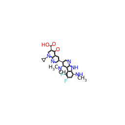 CNc1cc(F)c(F)c2c1[nH]c1ncc(-c3cnc4c(c3)c(=O)c(C(=O)O)cn4C3CC3)c(N(C)C)c12